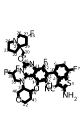 N#Cc1c(N)sc2c(F)ccc(-c3c(Cl)c4c5c(nc(OC[C@@]67CCCN6C[C@H](F)C7)nc5c3F)N(CC(F)F)C3COCCC3O4)c12